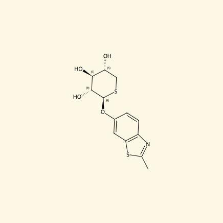 Cc1nc2ccc(O[C@@H]3SC[C@@H](O)[C@H](O)[C@H]3O)cc2s1